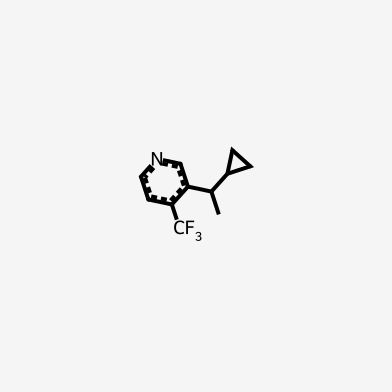 CC(c1cnccc1C(F)(F)F)C1CC1